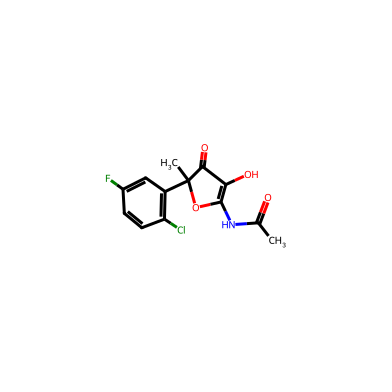 CC(=O)NC1=C(O)C(=O)C(C)(c2cc(F)ccc2Cl)O1